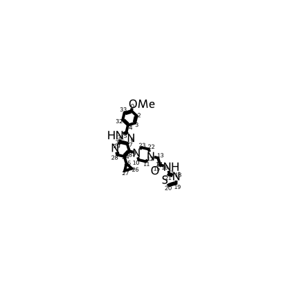 COc1ccc(-c2nc3c(N4CCN(CC(=O)Nc5nccs5)CC4)c(C4CC4)cnc3[nH]2)cc1